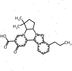 CCCc1cccc2c3n(nc12)C1CCC(C)(C)C1n1cc(C(=O)O)c(=O)cc1-3